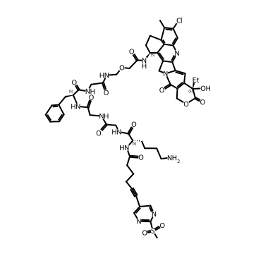 CC[C@@]1(O)C(=O)OCc2c1cc1n(c2=O)Cc2c-1nc1cc(Cl)c(C)c3c1c2[C@@H](NC(=O)COCNC(=O)CNC(=O)[C@H](Cc1ccccc1)NC(=O)CNC(=O)CNC(=O)[C@H](CCCCN)NC(=O)CCCC#Cc1cnc(S(C)(=O)=O)nc1)CC3